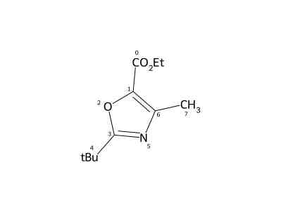 CCOC(=O)c1oc(C(C)(C)C)nc1C